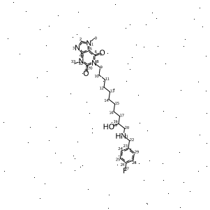 Cn1cnc2c1c(=O)n(CCCCCCCCCC(O)CNCc1ccc(F)cc1)c(=O)n2C